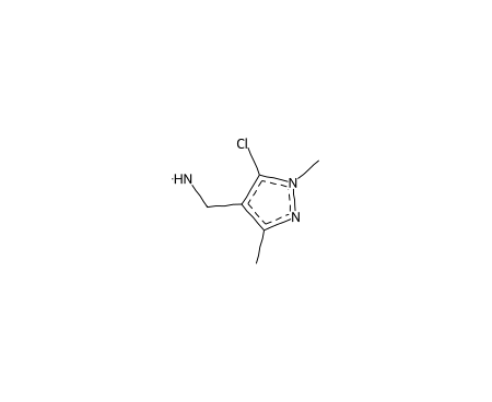 Cc1nn(C)c(Cl)c1C[NH]